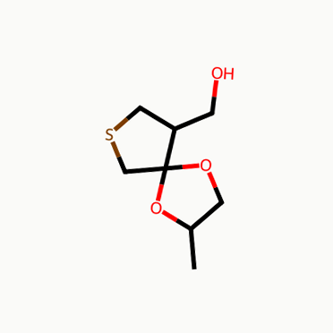 CC1COC2(CSCC2CO)O1